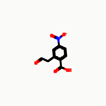 O=CCc1cc([N+](=O)[O-])ccc1C(=O)O